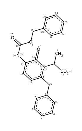 CC(C(=O)O)n1c(Cc2ccccc2)ccc(NC(=O)OCc2ccccc2)c1=O